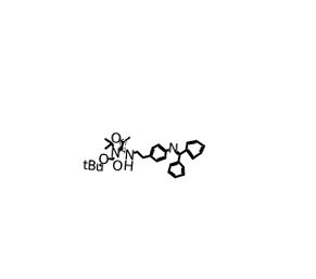 C[C@@H]1OC(C)(C)N(C(=O)OC(C)(C)C)[C@H]1NCCc1ccc(N=C(c2ccccc2)c2ccccc2)cc1